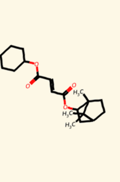 CC1(C)C2CCC1(C)C(OC(=O)/C=C/C(=O)OC1CCCCC1)C2